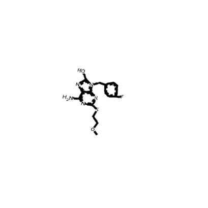 COCCSc1nc(N)c2nc(O)n(Cc3ccc(F)cc3)c2n1